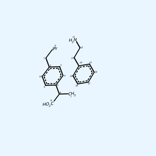 CC(C)Cc1ccc(C(C)C(=O)O)cc1.NCCc1ccccc1